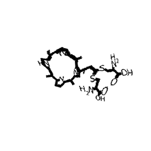 Cc1c2nc(c(C)c3cc(CC(SCC(N)C(=O)O)SCC(N)C(=O)O)c([nH]3)c(C)c3nc(c(C)c4ccc1[nH]4)C=C3)C=C2